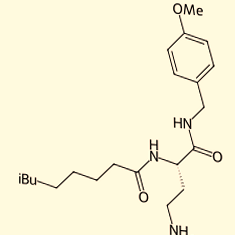 CCC(C)CCCCC(=O)N[C@@H](CCN)C(=O)NCc1ccc(OC)cc1